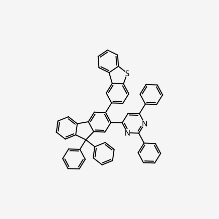 c1ccc(-c2cc(-c3cc4c(cc3-c3ccc5sc6ccccc6c5c3)-c3ccccc3C4(c3ccccc3)c3ccccc3)nc(-c3ccccc3)n2)cc1